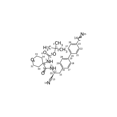 CC(C)(C)OC(=O)NC1(C(=O)N[C@H](C#N)Cc2ccc(-c3ccc([14C]#N)cc3)cc2)CCOCC1